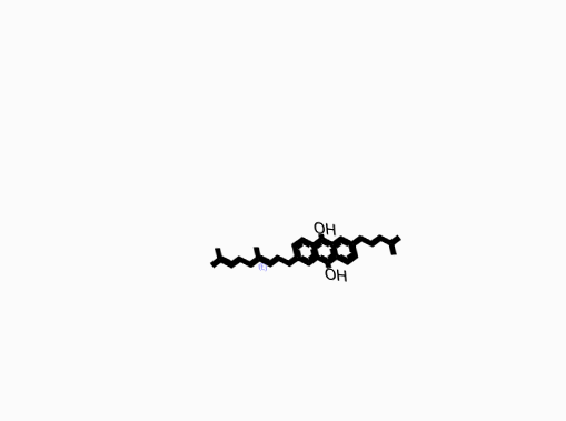 CC(C)=CCC/C(C)=C/CCc1ccc2c(O)c3cc(CCCC(C)C)ccc3c(O)c2c1